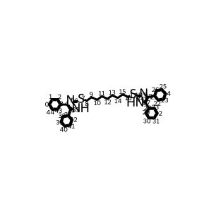 c1ccc(-c2nc(SCCCCCCCCCSc3nc(-c4ccccc4)c(-c4ccccc4)[nH]3)[nH]c2-c2ccccc2)cc1